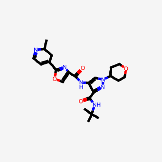 CC1CC(c2nc(C(=O)Nc3cn(C4CCOCC4)nc3C(=O)NC(C)(C)C)co2)=CC=N1